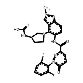 Cn1cc2c(N3CCC(NC(=O)O)C3)c(NC(=O)c3ccc(=O)n(-c4c(F)cccc4F)n3)ccc2n1